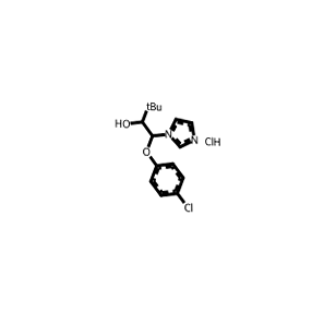 CC(C)(C)C(O)C(Oc1ccc(Cl)cc1)n1ccnc1.Cl